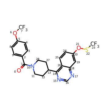 O=C(c1ccc(OC(F)(F)F)cc1)N1CCC(c2ncnc3cc(OSC(F)(F)F)ccc23)CC1